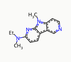 CCN(C)c1ccc2c3cnccc3n(C)c2n1